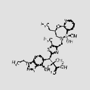 CC[C@@H]1CN(Cc2nc([C@@H](c3ccc4c(nnn4CC)c3C)C(C)(C)C(=O)O)sc2C)S(O)(O)c2cccnc2O1